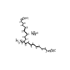 Br.CCCCCCCCCCCCCCCCCCCC(CN)CCCCCCCCCCCCCCCCCC